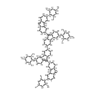 Cc1cc(C)c(-c2ccc3oc4ccc(-n5c6ccc(-c7ccc8c(c7)c7cc(-c9c(C)cc(C)cc9C)ccc7n8-c7ccc8sc9ccc(-c%10c(C)cc(C)cc%10C)cc9c8c7)cc6c6cc(-c7c(C)cc(C)cc7C)ccc65)cc4c3c2)c(C)c1